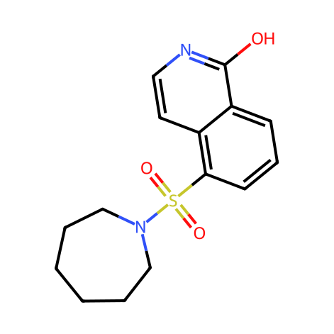 O=S(=O)(c1cccc2c(O)nccc12)N1CCCCCC1